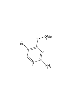 COCc1cc(N)ncc1Br